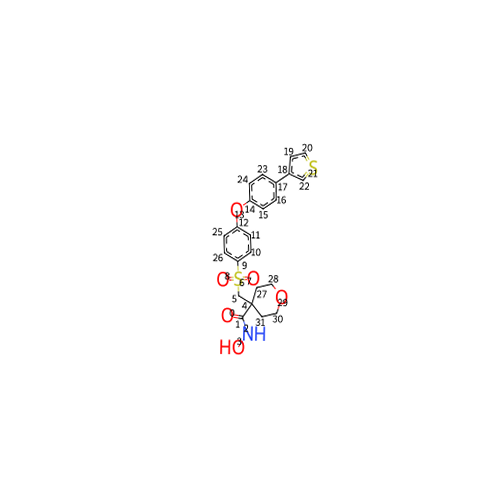 O=C(NO)C1(CS(=O)(=O)c2ccc(Oc3ccc(-c4ccsc4)cc3)cc2)CCOCC1